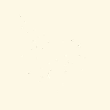 Cc1ccc2c(c1)sc1c(-c3cccc(-c4cccc(-n5c6ccccc6c6cc(-n7c8ccccc8c8ccccc87)ccc65)c4)c3)cccc12